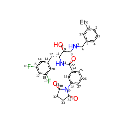 CCc1cccc(CNC[C@H](O)[C@@H](Cc2cc(F)cc(F)c2)NC(=O)c2cccc(N3C(=O)CCC3=O)c2)c1